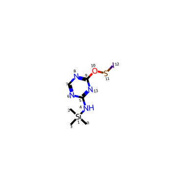 C[Si](C)(C)Nc1ncnc(OSI)n1